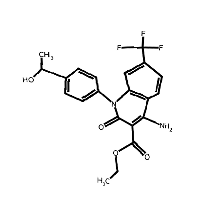 CCOC(=O)c1c(N)c2ccc(C(F)(F)F)cc2n(-c2ccc(C(C)O)cc2)c1=O